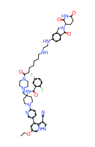 CCOc1cc(-c2ccc(N3CCC(CN4CCN(C(=O)CCCCCCNCCNc5ccc6c(c5)CN(C5CCC(=O)NC5=O)C6=O)CC4)(NC(=O)c4cc(F)ccc4F)CC3)nc2)c2c(C#N)cnn2c1